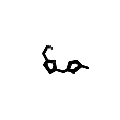 Cc1ccc(Cc2ccc(CN)s2)s1